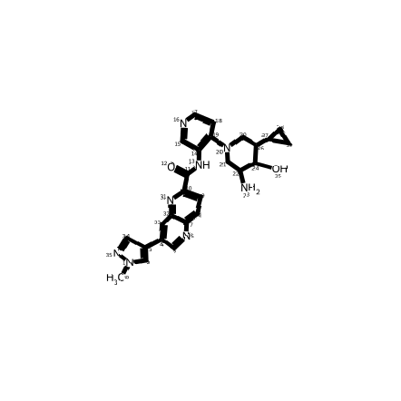 Cn1cc(-c2cnc3ccc(C(=O)Nc4cnccc4N4CC(N)C(O)C(C5CC5)C4)nc3c2)cn1